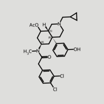 CC(=O)OC1C[C@H](N(C)C(=O)Cc2ccc(Cl)c(Cl)c2)C[C@]2(c3cccc(O)c3)CCN(CC3CC3)C[C@@H]12